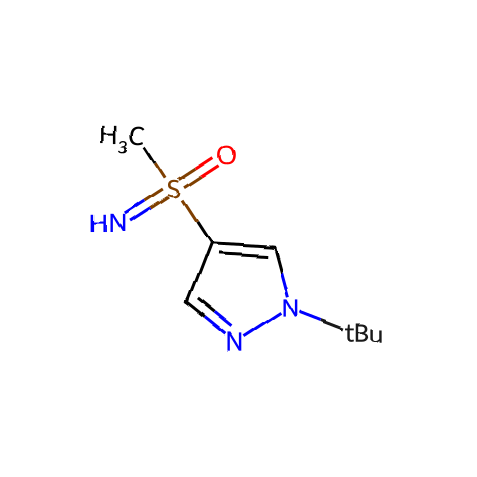 CC(C)(C)n1cc(S(C)(=N)=O)cn1